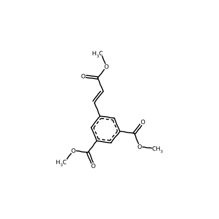 COC(=O)C=Cc1cc(C(=O)OC)cc(C(=O)OC)c1